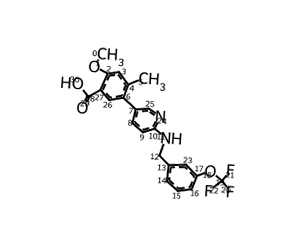 COc1cc(C)c(-c2ccc(NCc3cccc(OC(F)(F)F)c3)nc2)cc1C(=O)O